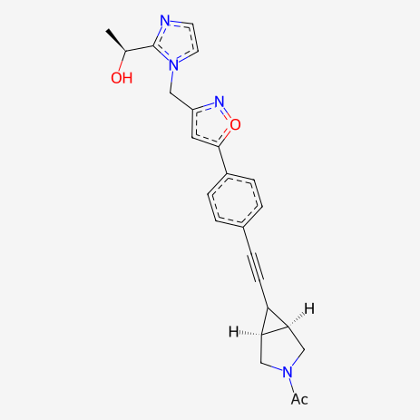 CC(=O)N1C[C@@H]2C(C#Cc3ccc(-c4cc(Cn5ccnc5[C@H](C)O)no4)cc3)[C@@H]2C1